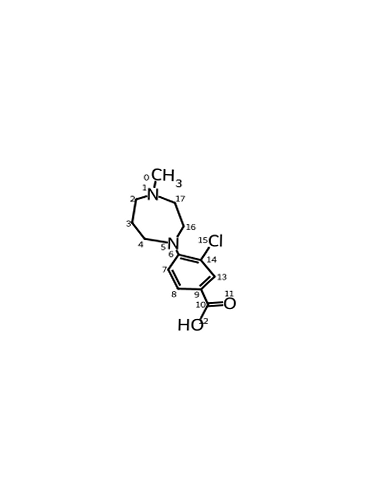 CN1CCCN(c2ccc(C(=O)O)cc2Cl)CC1